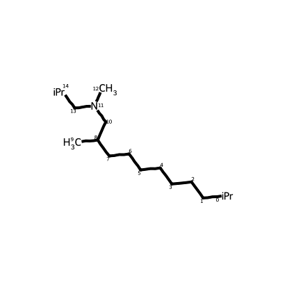 CC(C)CCCCCCCC(C)CN(C)CC(C)C